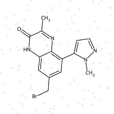 Cc1nc2c(-c3ccnn3C)cc(CBr)cc2[nH]c1=O